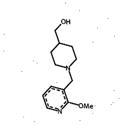 COc1ncccc1CN1CCC(CO)CC1